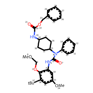 COCOc1c(NC(=O)N(c2ccccc2)C2CCC(NC(=O)OCc3ccccc3)CC2)cc(OC)cc1C(C)(C)C